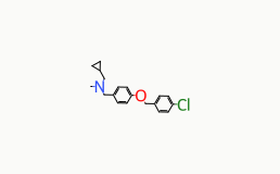 CN(Cc1ccc(OCc2ccc(Cl)cc2)cc1)CC1CC1